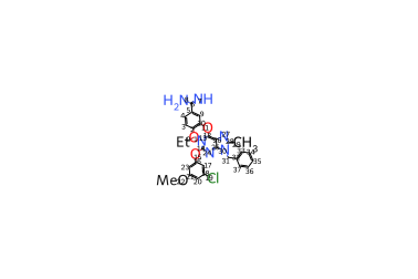 CCOc1ccc(C(=N)N)cc1Oc1nc(Oc2cc(Cl)cc(OC)c2)nc2c1nc(C)n2Cc1ccccc1